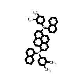 Cc1ccc(N(c2cccc3ccccc23)c2ccc3ccc4c(N(c5ccc(C)c(C)c5)c5cccc6ccccc56)ccc5ccc2c3c54)cc1C